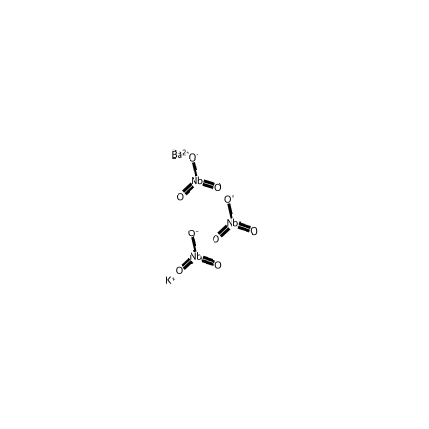 [Ba+2].[K+].[O]=[Nb](=[O])[O-].[O]=[Nb](=[O])[O-].[O]=[Nb](=[O])[O-]